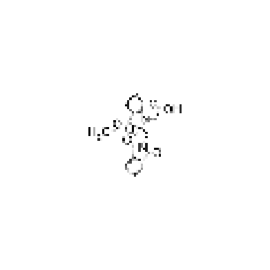 CCOC(=O)c1ccccc1N(CC(=O)O)C(=O)CN1C(=O)c2ccccc2C1=O